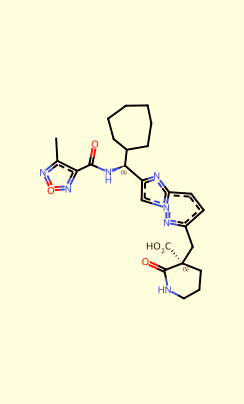 Cc1nonc1C(=O)N[C@H](c1cn2nc(C[C@@]3(C(=O)O)CCCNC3=O)ccc2n1)C1CCCCCC1